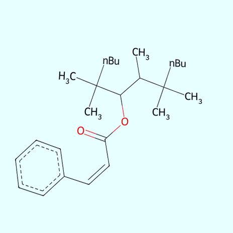 CCCCC(C)(C)C(C)C(OC(=O)/C=C\c1ccccc1)C(C)(C)CCCC